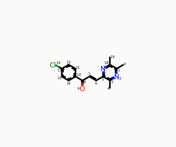 Cc1nc(C)c(C=CC(=O)c2ccc(Cl)cc2)nc1C